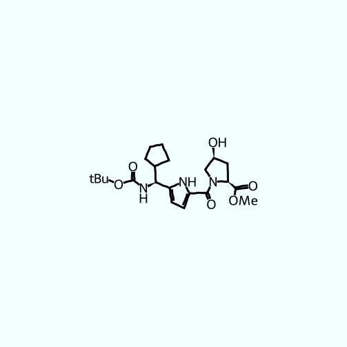 COC(=O)[C@@H]1C[C@H](O)CN1C(=O)c1ccc([C@@H](NC(=O)OC(C)(C)C)C2CCCC2)[nH]1